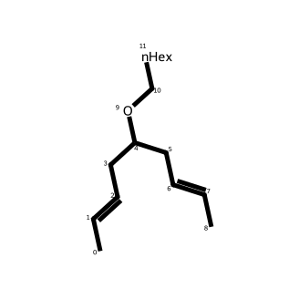 CC=CCC(CC=CC)OCCCCCCC